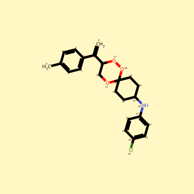 C=C(c1ccc(C)cc1)C1COC2(CCC(Nc3ccc(Cl)cc3)CC2)OO1